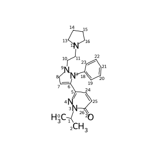 CC(C)n1nc(C2=CCN(CCN3CCCC3)N2c2ccccc2)ccc1=O